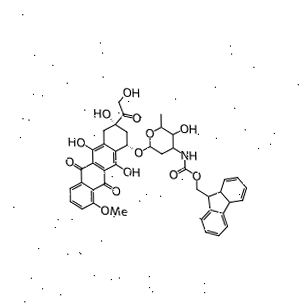 COc1cccc2c1C(=O)c1c(O)c3c(c(O)c1C2=O)C[C@@](O)(C(=O)CO)C[C@@H]3OC1CC(NC(=O)OCC2c3ccccc3C3C=CC=CC32)C(O)C(C)O1